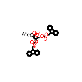 COC1(O)C[C@H](OC(=O)OCC2c3ccccc3-c3ccccc32)[C@@H](COC(=O)OCC2c3ccccc3-c3ccccc32)O1